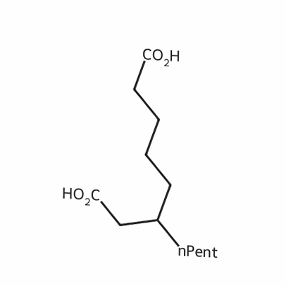 CCCCCC(CCCCC(=O)O)CC(=O)O